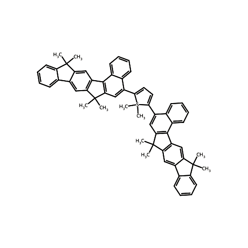 CC1(C)c2ccccc2-c2cc3c(cc21)-c1c(cc(C2=CC=C(c4cc5c(c6ccccc46)-c4cc6c(cc4C5(C)C)-c4ccccc4C6(C)C)S2(C)C)c2ccccc12)C3(C)C